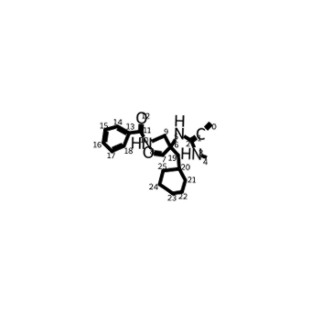 C=C=C(NC)NC(C=O)(CNC(=O)c1ccccc1)CC1CCCCC1